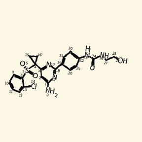 Nc1cc(C2(S(=O)(=O)c3ccccc3Cl)CC2)nc(-c2ccc(NC(=O)NCCO)cc2)n1